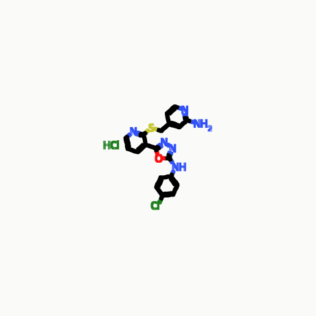 Cl.Nc1cc(CSc2ncccc2-c2nnc(Nc3ccc(Cl)cc3)o2)ccn1